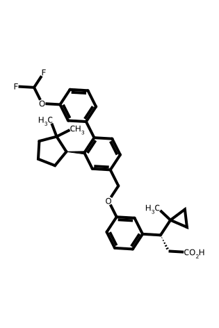 CC1(C)CCC[C@@H]1c1cc(COc2cccc([C@@H](CC(=O)O)C3(C)CC3)c2)ccc1-c1cccc(OC(F)F)c1